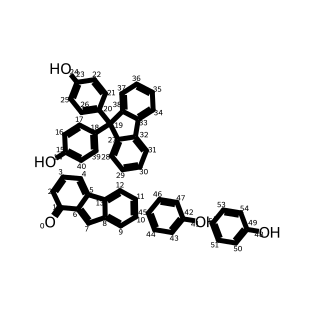 O=C1C=CC=C2C1=Cc1ccccc12.Oc1ccc(C2(c3ccc(O)cc3)c3ccccc3-c3ccccc32)cc1.Oc1ccccc1.Oc1ccccc1